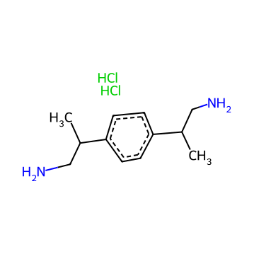 CC(CN)c1ccc(C(C)CN)cc1.Cl.Cl